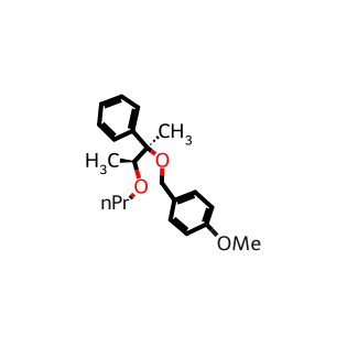 CCCO[C@@H](C)[C@](C)(OCc1ccc(OC)cc1)c1ccccc1